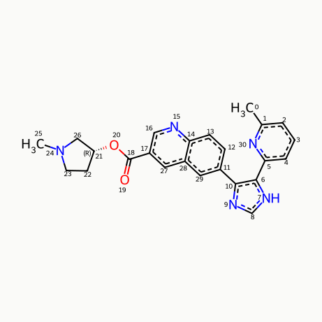 Cc1cccc(-c2[nH]cnc2-c2ccc3ncc(C(=O)O[C@@H]4CCN(C)C4)cc3c2)n1